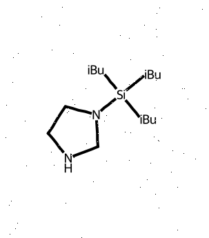 CCC(C)[Si](C(C)CC)(C(C)CC)N1CCNC1